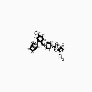 CC(OC(=O)N1CCN(Cc2ccc(Cl)cc2N2CC3CCC(C2)O3)CC1)C(F)(F)F